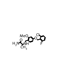 COc1cc(OCc2c(F)cccc2Cl)ccc1CNC(C)C(N)=O